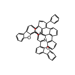 c1ccc(-c2cccc(-c3c(-c4ccccc4)ccc4ccccc34)c2-c2nc(-c3cccc4c3oc3ccccc34)cc(-c3cccc4c3oc3ccccc34)n2)cc1